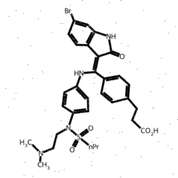 CCCS(=O)(=O)N(CCN(C)C)c1ccc(NC(=C2C(=O)Nc3cc(Br)ccc32)c2ccc(CCC(=O)O)cc2)cc1